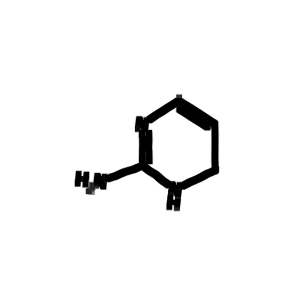 NC1=N[C]=CCN1